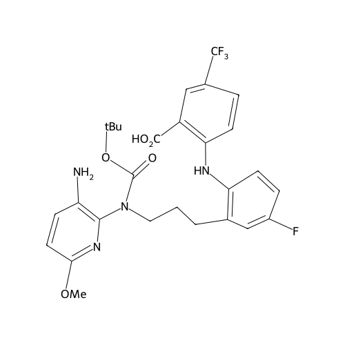 COc1ccc(N)c(N(CCCc2cc(F)ccc2Nc2ccc(C(F)(F)F)cc2C(=O)O)C(=O)OC(C)(C)C)n1